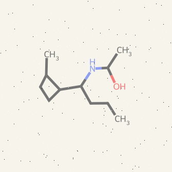 CCCC(NC(C)O)C1CCC1C